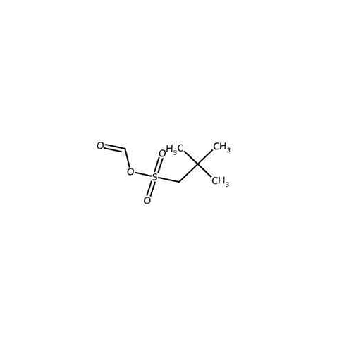 CC(C)(C)CS(=O)(=O)OC=O